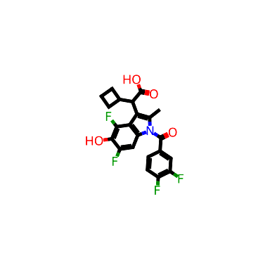 Cc1c(C(C(=O)O)C2CCC2)c2c(F)c(O)c(F)cc2n1C(=O)c1ccc(F)c(F)c1